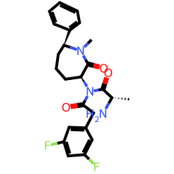 C[C@H](N)C(=O)N(C(=O)Cc1cc(F)cc(F)c1)[C@H]1CCC[C@@H](c2ccccc2)N(C)C1=O